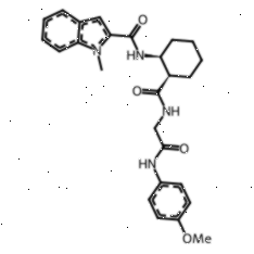 COc1ccc(NC(=O)CNC(=O)[C@@H]2CCCC[C@@H]2NC(=O)c2cc3ccccc3n2C)cc1